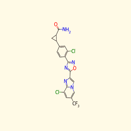 NC(=O)C1CC1c1ccc(-c2noc(-c3cn4cc(C(F)(F)F)cc(Cl)c4n3)n2)c(Cl)c1